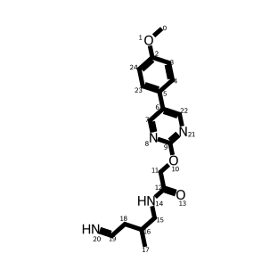 COc1ccc(-c2cnc(OCC(=O)NCC(C)CC=N)nc2)cc1